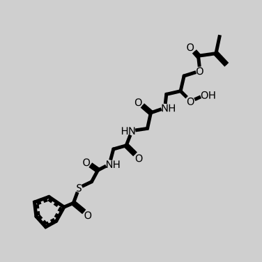 C=C(C)C(=O)OCC(CNC(=O)CNC(=O)CNC(=O)CSC(=O)c1ccccc1)OO